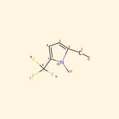 CCc1ccc(C(F)(F)F)n1C